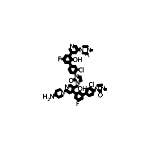 C[C@@H]1CN(c2cncc(-c3cc(F)cc(-c4ccc(-n5ccn(Cc6cnc(N7CCC(N)CC7)cc6-c6cc(F)cc(-c7ccc(-n8ccn(C)c8=O)c(Cl)c7)c6O)c5=O)c(Cl)c4)c3O)c2)CCN1C